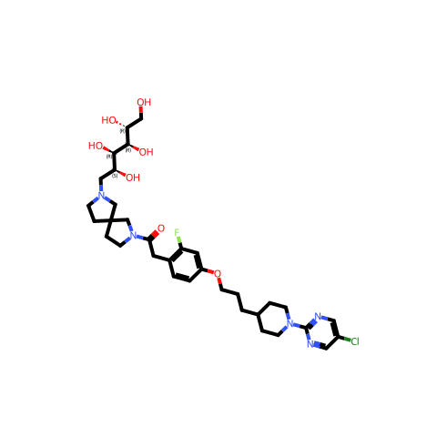 O=C(Cc1ccc(OCCCC2CCN(c3ncc(Cl)cn3)CC2)cc1F)N1CCC2(CCN(C[C@H](O)[C@@H](O)[C@H](O)[C@H](O)CO)C2)C1